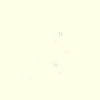 C=C/C=C\c1c(/C(=C\C(=C)N(c2cc(C)cc(C)c2)c2cc(C)cc(C)c2)c2ccc3ccccc3c2)ccc2c(N(c3cc(C)cc(C)c3)c3cc(C)cc(C)c3)cc(-c3ccc4ccccc4c3)cc12